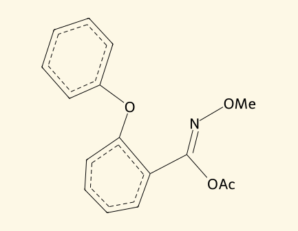 CON=C(OC(C)=O)c1ccccc1Oc1ccccc1